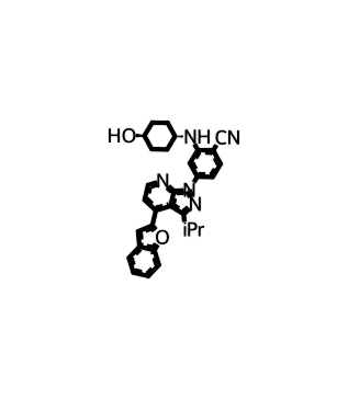 CC(C)c1nn(-c2ccc(C#N)c(N[C@H]3CC[C@H](O)CC3)c2)c2nccc(-c3cc4ccccc4o3)c12